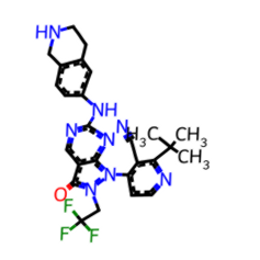 CC(C)(C)c1nccc(-n2c3nc(Nc4ccc5c(c4)CCNC5)ncc3c(=O)n2CC(F)(F)F)c1C#N